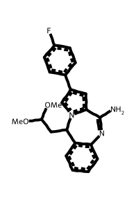 COC(CC1c2ccccc2N=C(N)c2cc(-c3ccc(F)cc3)cn21)OC